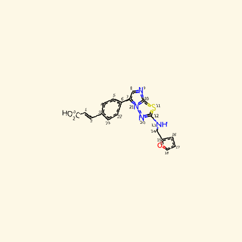 O=C(O)/C=C/c1ccc(-c2cnc3sc(NCc4ccco4)nn23)cc1